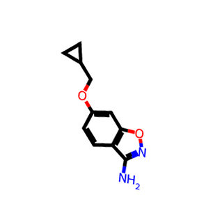 Nc1noc2cc(OCC3CC3)ccc12